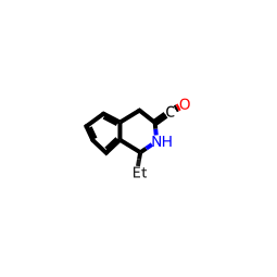 CCC1NC(=C=O)Cc2ccccc21